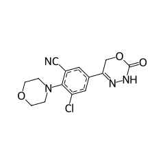 N#Cc1cc(C2=NNC(=O)OC2)cc(Cl)c1N1CCOCC1